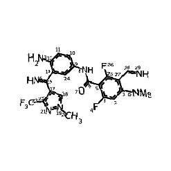 CNc1cc(F)c(C(=O)Nc2ccc(N)c(C(=N)c3cn(C)nc3C(F)(F)F)c2)c(F)c1C=N